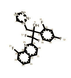 OC(Cn1cnnn1)(c1ccc(F)cc1F)C(F)(F)c1ccc2cccc(F)c2n1